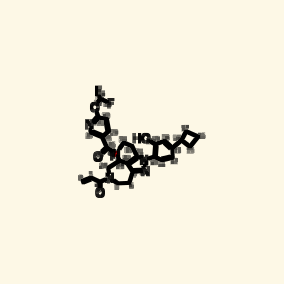 C=CC(=O)N1CCc2nn(-c3ccc(C4CCC4)cc3O)c3c2[C@H](C1)N(C(=O)c1ccc(OC(F)F)nc1)CC3